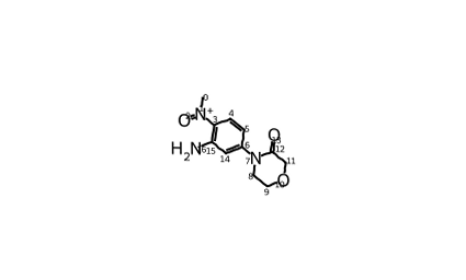 C[N+](=O)c1ccc(N2CCOCC2=O)cc1N